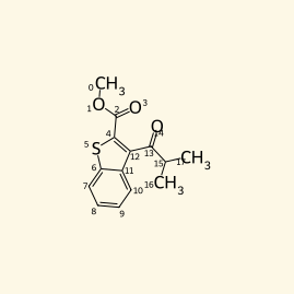 COC(=O)c1sc2ccccc2c1C(=O)C(C)C